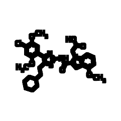 COc1cc(-c2nc(NC(=O)c3cc4c(OC)cccc4n3CC(=O)O)sc2CCC2CCCCC2)c(OC)cc1Cl